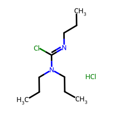 CCC/N=C(\Cl)N(CCC)CCC.Cl